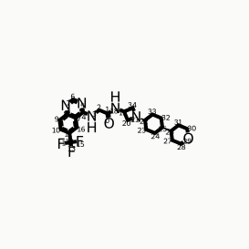 O=C(CNc1ncnc2ccc(C(F)(F)F)cc12)NC1CN([C@H]2CC[C@H](C3CCOCC3)CC2)C1